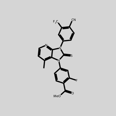 COC(=O)c1ccc(-n2c(=S)n(-c3ccc(C#N)c(C(F)(F)F)c3)c3nccc(C)c32)cc1F